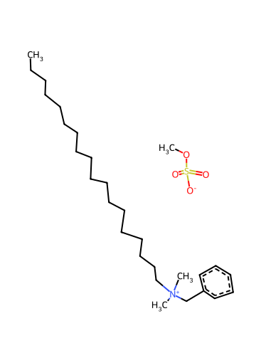 CCCCCCCCCCCCCCCCCC[N+](C)(C)Cc1ccccc1.COS(=O)(=O)[O-]